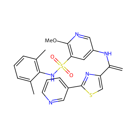 C=C(Nc1cnc(OC)c(S(=O)(=O)Nc2c(C)cccc2C)c1)c1csc(-c2cccnc2)n1